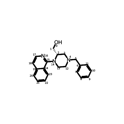 OC[C@@H]1CN(Cc2ccccc2)CCN1c1nccc2ccccc12